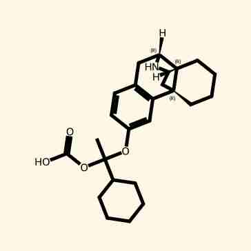 CC(OC(=O)O)(Oc1ccc2c(c1)[C@@]13CCCC[C@H]1[C@@H](C2)NCC3)C1CCCCC1